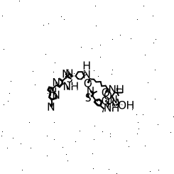 CNc1cc(-c2ccc3cc(C#N)cnn23)ncc1-c1nnc([C@H]2CC[C@H](NC(=O)CCCCCC(=O)N[C@H](C(=O)N3C[C@H](O)C[C@H]3C(=O)N[C@@H](C)c3ccc(-c4scnc4C)cc3)C(C)(C)C)CC2)s1